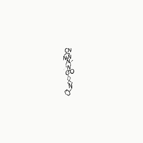 C[C@@H]1CN(c2ncc(C#N)cn2)[C@@H](C)CN1C(=O)OC1CC2(C1)CN(Cc1ccccc1)C2